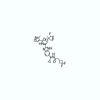 Cc1nocc1C(=O)N[C@@H](COC(C)(CF)C(F)F)c1nc2ccc([C@H](NC(=O)CC3CC(F)(F)C3)C3CC3)cc2[nH]1